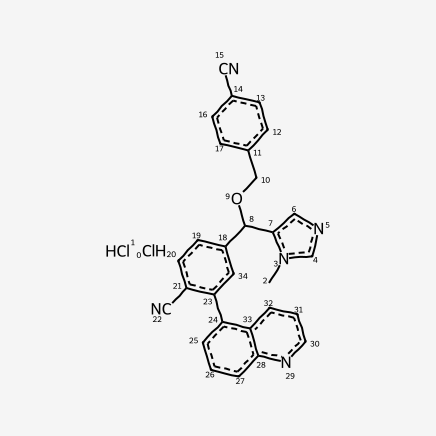 Cl.Cl.Cn1cncc1C(OCc1ccc(C#N)cc1)c1ccc(C#N)c(-c2cccc3ncccc23)c1